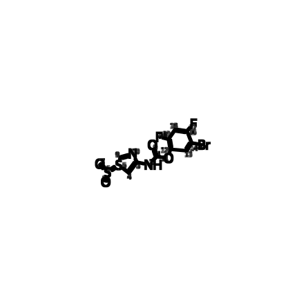 O=C(NC1=CS(=S(=O)=O)C=N1)Oc1cc(Br)c(F)cc1F